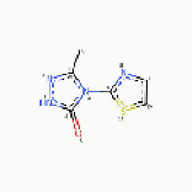 Cc1n[nH]c(=O)n1-c1nccs1